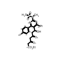 CCOC(=O)CC(=O)CC(=O)CC(O)c1c(-c2ccc(F)cc2)nc(N(C)S(C)(=O)=O)nc1C(C)C